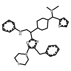 CN(C)C(c1cccs1)C1CCC(C(CNc2ccccc2)c2nc(Cc3ccccc3)c(N3CCSCC3)o2)CC1